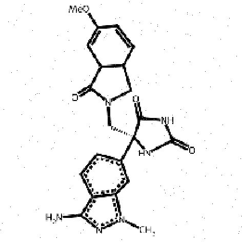 COC1=CC2C(=O)N(C[C@@]3(c4ccc5c(N)nn(C)c5c4)NC(=O)NC3=O)CC2C=C1